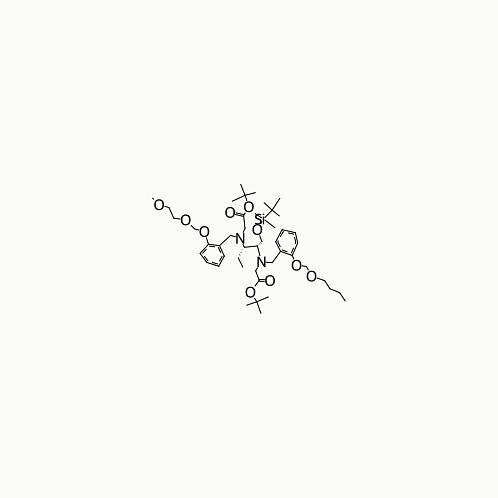 CCCCOCOc1ccccc1CN(CC(=O)OC(C)(C)C)[C@@H](CO[Si](C)(C)C(C)(C)C)[C@H](CC)N(CC(=O)OC(C)(C)C)Cc1ccccc1OCOCCOC